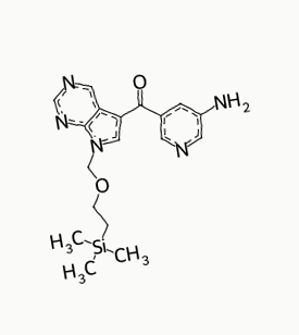 C[Si](C)(C)CCOCn1cc(C(=O)c2cncc(N)c2)c2cncnc21